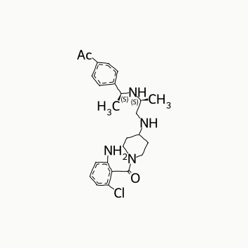 CC(=O)c1ccc([C@H](C)N[C@@H](C)CNC2CCN(C(=O)c3c(N)cccc3Cl)CC2)cc1